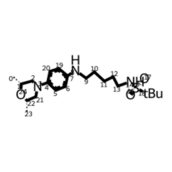 C[C@@H]1CN(c2ccc(NCCCCCNS(=O)(=O)C(C)(C)C)cc2)C[C@H](C)O1